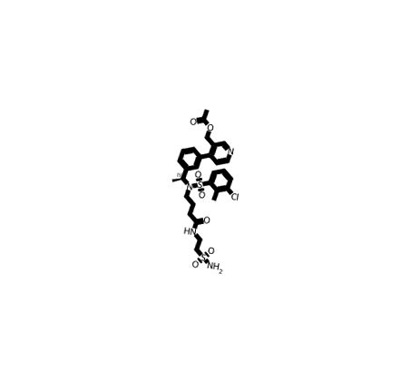 CC(=O)OCc1cnccc1-c1cccc([C@H](C)N(CCCC(=O)NCCS(N)(=O)=O)S(=O)(=O)c2cccc(Cl)c2C)c1